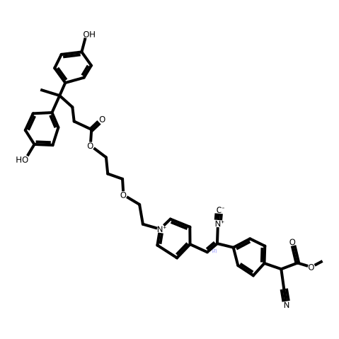 [C-]#[N+]/C(=C\c1cc[n+](CCOCCCOC(=O)CCC(C)(c2ccc(O)cc2)c2ccc(O)cc2)cc1)c1ccc(C(C#N)C(=O)OC)cc1